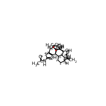 C=C1C(=O)[C@]23[C@H](O)[C@H]1CC[C@H]2[C@]12c4nc(NC(C)=O)sc4CC(C)(C)[C@H]1[C@H](O)[C@]3(O)OC2C